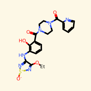 CCOc1n[s+]([O-])nc1Nc1cccc(C(=O)N2CCN(C(=O)c3ccccn3)CC2)c1O